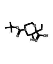 CCC1(C(=O)O)OCCN(C(=O)OC(C)(C)C)CC1O